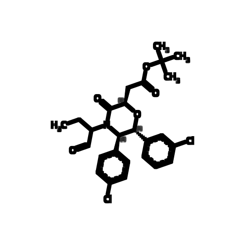 CCC(C=O)N1C(=O)[C@@H](CC(=O)OC(C)(C)C)O[C@H](c2cccc(Cl)c2)[C@H]1c1ccc(Cl)cc1